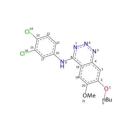 CCCCOc1cc2nnnc(Nc3ccc(Cl)c(Cl)c3)c2cc1OC